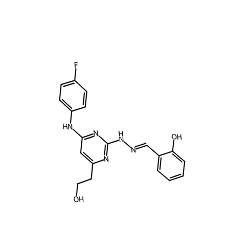 OCCc1cc(Nc2ccc(F)cc2)nc(NN=Cc2ccccc2O)n1